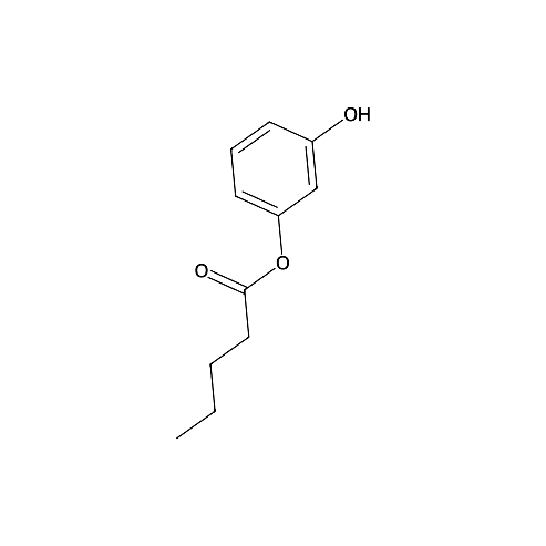 CCCCC(=O)Oc1cccc(O)c1